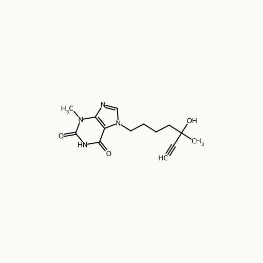 C#CC(C)(O)CCCCn1cnc2c1c(=O)[nH]c(=O)n2C